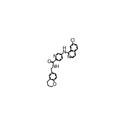 O=C(NCc1ccc2c(c1)CCCO2)c1ccc(Nc2nccc3ccc(Cl)cc23)cn1